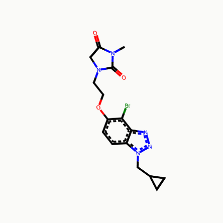 CN1C(=O)CN(CCOc2ccc3c(nnn3CC3CC3)c2Br)C1=O